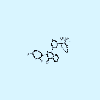 CC(CC1CC1)(C(N)=O)c1cccc(-c2nn(-c3ccc(F)cc3F)c(=O)c3ccccc23)c1